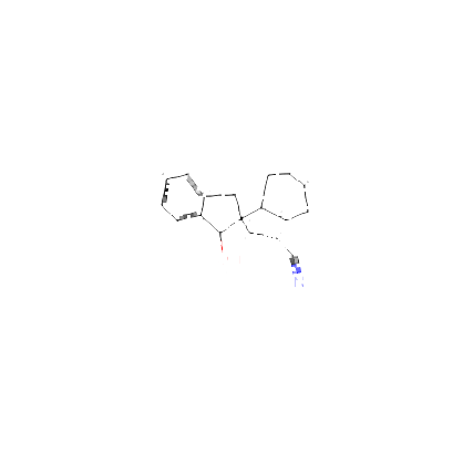 N#CCCC1(C2CCCCC2)Cc2ccccc2C1O